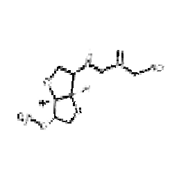 O=NCNCN[C@@H]1CO[C@H]2[C@@H]1OC[C@@H]2O[N+](=O)[O-]